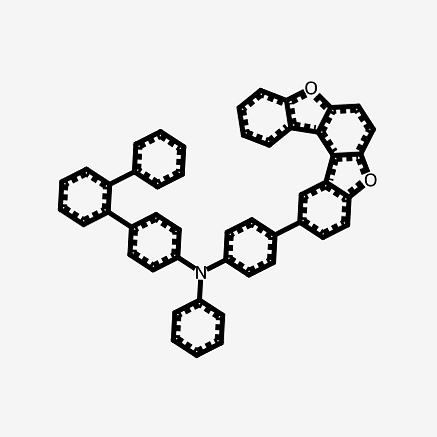 c1ccc(-c2ccccc2-c2ccc(N(c3ccccc3)c3ccc(-c4ccc5oc6ccc7oc8ccccc8c7c6c5c4)cc3)cc2)cc1